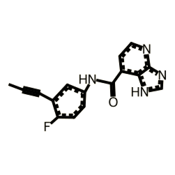 CC#Cc1cc(NC(=O)c2ccnc3nc[nH]c23)ccc1F